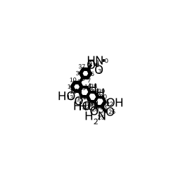 CNC(=O)Oc1ccc(-c2ccc(O)c3c2C[C@H]2C[C@H]4CC(O)=C(C(N)=O)C(=O)[C@@]4(O)C(O)=C2C3=O)cc1